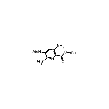 CNc1cc(N)c(C(=O)OC(C)(C)C)nc1C